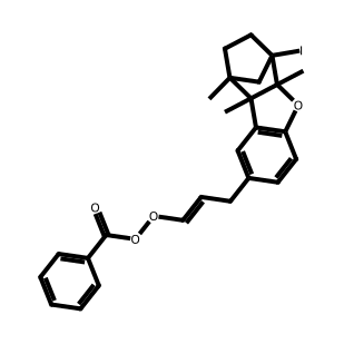 CC12CCC(I)(C1)C1(C)Oc3ccc(CC=COOC(=O)c4ccccc4)cc3C21C